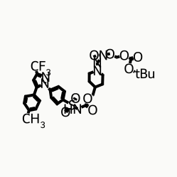 Cc1ccc(-c2cc(C(F)(F)F)nn2-c2ccc(S(=O)(=O)NC(=O)OCC3CCN(n4on4OCOC(=O)OC(C)(C)C)CC3)cc2)cc1